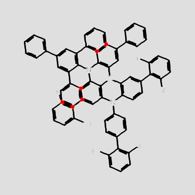 CC(C)c1cccc(C(C)C)c1-c1ccc(N2c3ccc(-c4c(C(C)C)cccc4C(C)C)cc3B3c4cc(-c5ccccc5)ccc4N(c4c(-c5ccccc5)cc(-c5ccccc5)cc4-c4ccccc4)c4cc(-c5c(C(C)C)cccc5C(C)C)cc2c43)cc1